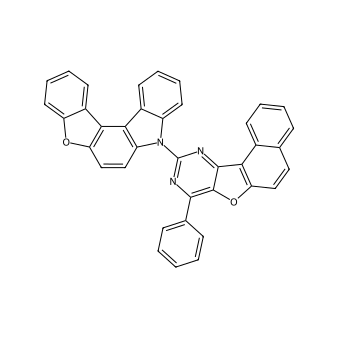 c1ccc(-c2nc(-n3c4ccccc4c4c5c(ccc43)oc3ccccc35)nc3c2oc2ccc4ccccc4c23)cc1